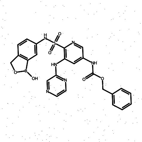 O=C(Nc1cnc(S(=O)(=O)Nc2ccc3c(c2)B(O)OC3)c(Nc2cnccn2)c1)OCc1ccccc1